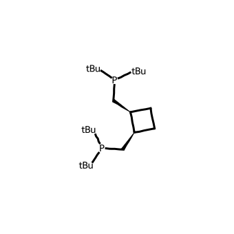 CC(C)(C)P(C[C@H]1CC[C@H]1CP(C(C)(C)C)C(C)(C)C)C(C)(C)C